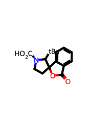 CC(C)(C)C1N(C(=O)O)CCC12OC(=O)c1ccccc12